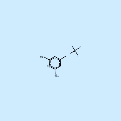 Cc1cc(C(C)(C)C)[te+]c(C(C)(C)C)c1.F[B-](F)(F)F